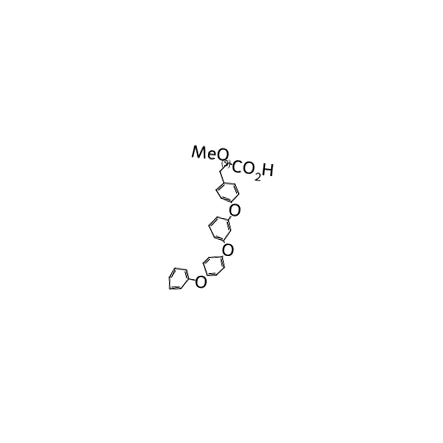 CO[C@@H](Cc1ccc(Oc2cccc(Oc3ccc(Oc4ccccc4)cc3)c2)cc1)C(=O)O